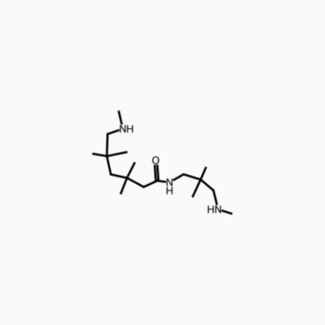 CNCC(C)(C)CNC(=O)CC(C)(C)CC(C)(C)CNC